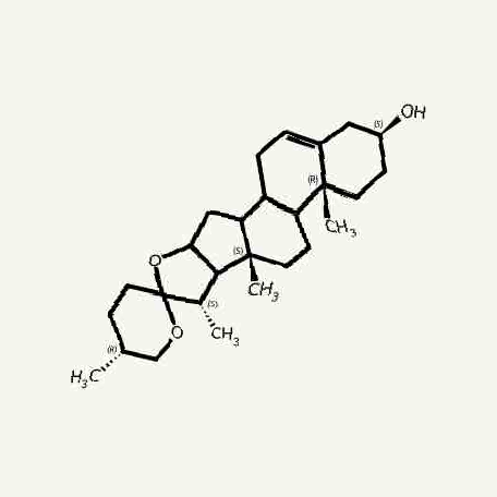 C[C@@H]1CCC2(OC1)OC1CC3C4CC=C5C[C@@H](O)CC[C@]5(C)C4CC[C@]3(C)C1[C@@H]2C